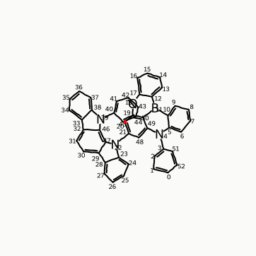 c1ccc(N2c3ccccc3B3c4ccccc4Oc4cc(-n5c6ccccc6c6ccc7c8ccccc8n(-c8ccccc8)c7c65)cc2c43)cc1